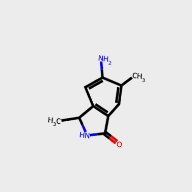 Cc1cc2c(cc1N)C(C)NC2=O